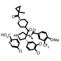 COc1ccc(C(=O)N(C)[C@]2(C(=O)C3CCN(C(=O)C4(C)CC4)CC3)CNC[C@H]2c2ccc(Cl)c(Cl)c2)cc1C(F)(F)F.O=C(O)c1ccc(Cl)cn1